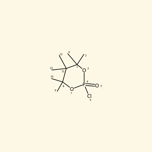 CC1(C)OP(=O)(Cl)OC(C)(C)C1(C)C